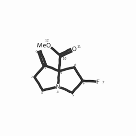 C=C1CCN2CC(F)CC12C(=O)OC